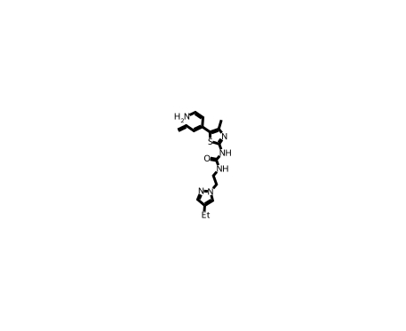 C=C/C=C(\C=C/N)c1sc(NC(=O)NCCn2cc(CC)cn2)nc1C